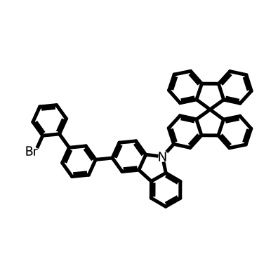 Brc1ccccc1-c1cccc(-c2ccc3c(c2)c2ccccc2n3-c2ccc3c(c2)-c2ccccc2C32c3ccccc3-c3ccccc32)c1